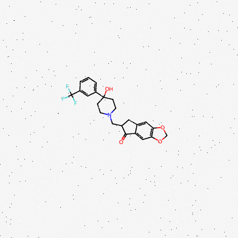 O=C1c2cc3c(cc2CC1CN1CCC(O)(c2cccc(C(F)(F)F)c2)CC1)OCO3